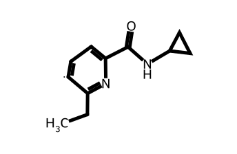 CCc1[c]ccc(C(=O)NC2CC2)n1